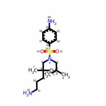 CC(C)CN(CC(C)(C)CCCN)S(=O)(=O)c1ccc(N)cc1